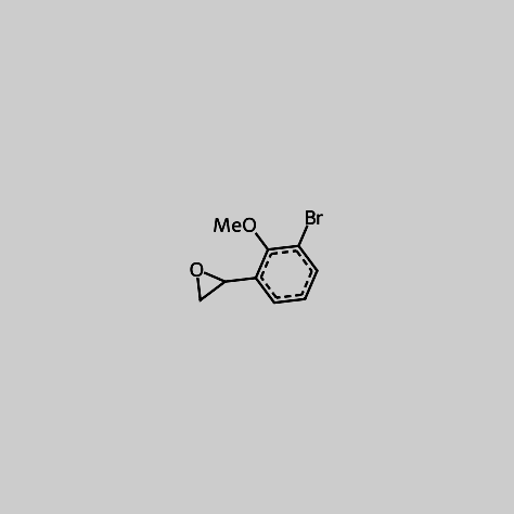 COc1c(Br)cccc1C1CO1